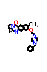 Cc1cc2cc3c(cc2cc1OCCN1CCN(Cc2ccccc2)CC1)N=C[C@@H]1CCCN1C3=O